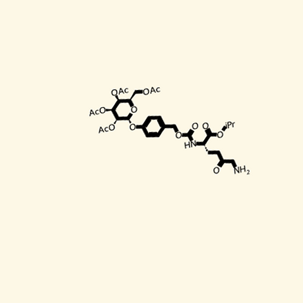 CC(=O)OC[C@H]1O[C@H](Oc2ccc(COC(=O)N[C@@H](CCC(=O)CN)C(=O)OC(C)C)cc2)[C@H](OC(C)=O)[C@@H](OC(C)=O)[C@H]1OC(C)=O